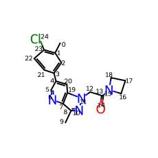 Cc1cc(-c2cnc3c(C)nn(CC(=O)N4CCC4)c3c2)ccc1Cl